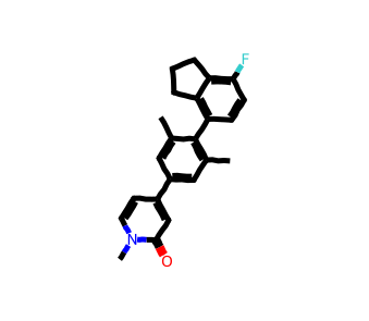 Cc1cc(-c2ccn(C)c(=O)c2)cc(C)c1-c1ccc(F)c2c1CCC2